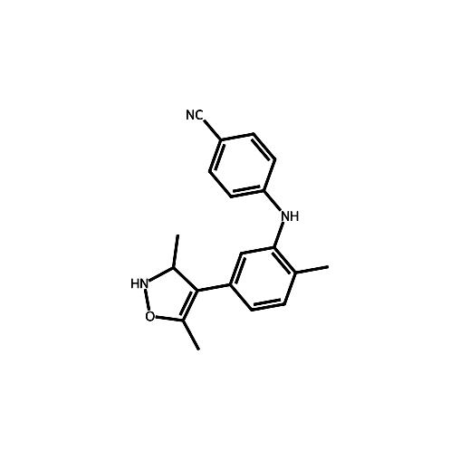 CC1=C(c2ccc(C)c(Nc3ccc(C#N)cc3)c2)C(C)NO1